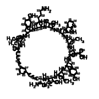 CCC[C@@H]1NC(=O)[C@H](Cc2c[nH]c3ncccc23)NC(=O)[C@H]([C@@H](C)O)NC(=O)[C@H](CCCCCN)NC(=O)[C@H](Cc2ccc(O)cc2)NC(=O)[C@H](C(C)(C)C)NC(=O)CCSCc2cccc(c2)CSC[C@@H](C(N)=O)NC(=O)[C@H]([C@@H](C)O)NC(=O)[C@H](CCC)NC(=O)[C@H](Cc2ccc(O)cc2)NC(=O)[C@H](CCC(=O)O)NC1=O